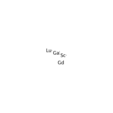 [Ga].[Gd].[Lu].[Sc]